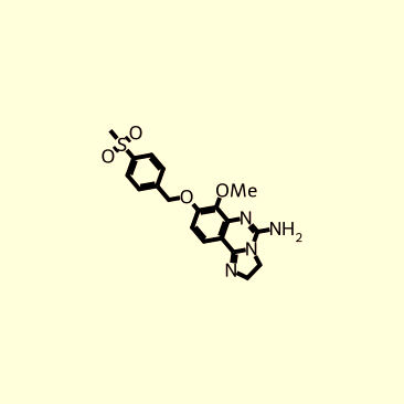 COc1c(OCc2ccc(S(C)(=O)=O)cc2)ccc2c1N=C(N)N1CCN=C21